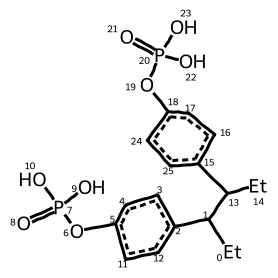 CCC(c1ccc(OP(=O)(O)O)cc1)C(CC)c1ccc(OP(=O)(O)O)cc1